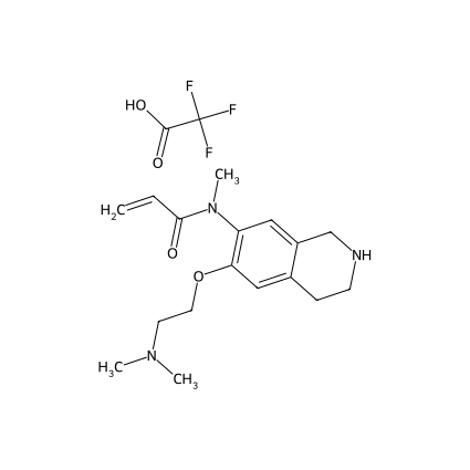 C=CC(=O)N(C)c1cc2c(cc1OCCN(C)C)CCNC2.O=C(O)C(F)(F)F